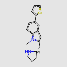 Cn1c(C[C@@H]2CCCN2)cc2cc(-c3cccs3)ccc21